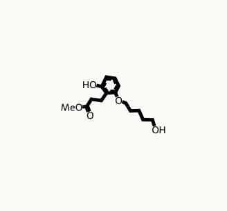 COC(=O)CCc1c(O)cccc1OCCCCCO